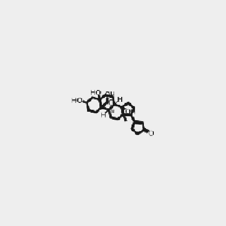 CC12CC[C@H]3[C@@H](CCC4(O)CC(O)CCC34C(=O)O)C1(O)CCC2C1=CC(=O)CC1